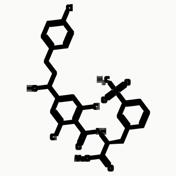 COC(=O)[C@H](Cc1cccc(S(C)(=O)=O)c1)NC(=O)c1c(Cl)cc(C(O)CCc2ccc(Cl)cc2)cc1Cl